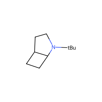 CC(C)(C)N1CCC2CCC21